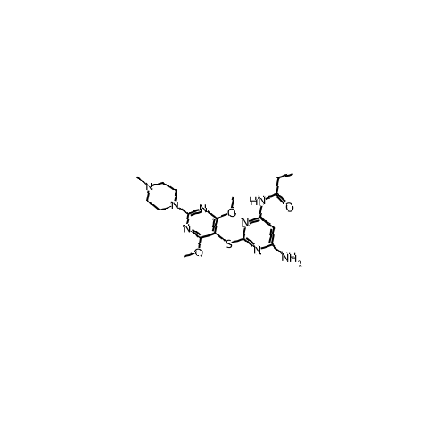 CCC(=O)Nc1cc(N)nc(Sc2c(OC)nc(N3CCN(C)CC3)nc2OC)n1